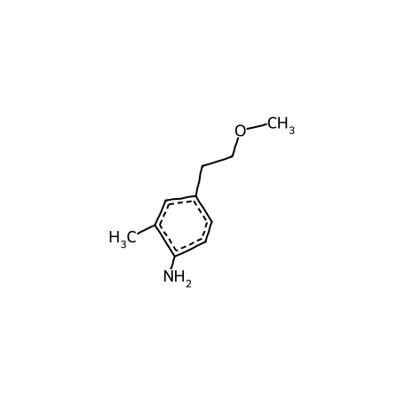 COCCc1ccc(N)c(C)c1